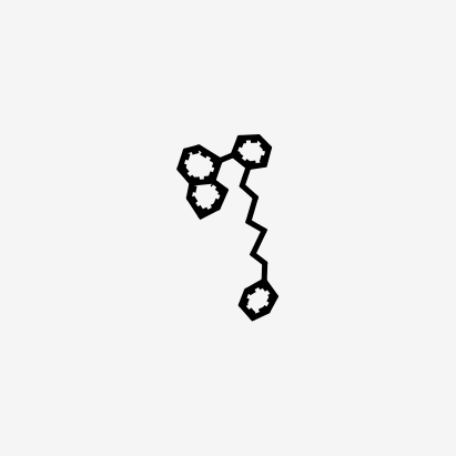 c1ccc(CCCCCCc2ccccc2-c2cccc3ccccc23)cc1